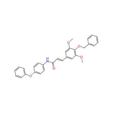 COc1cc(C=CC(=O)Nc2ccc(Oc3ccccc3)cc2)cc(OC)c1OCc1ccccc1